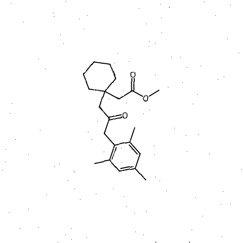 COC(=O)CC1(CC(=O)Cc2c(C)cc(C)cc2C)CCCCC1